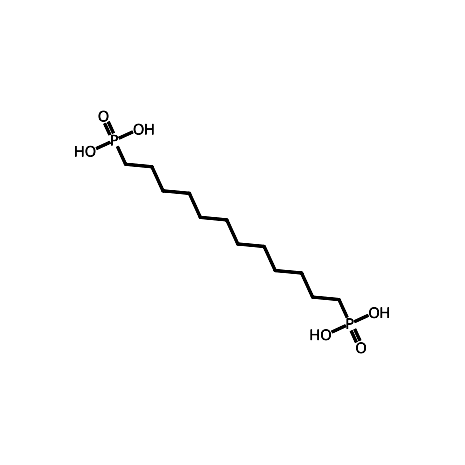 O=P(O)(O)CCCCCCCCCCCCP(=O)(O)O